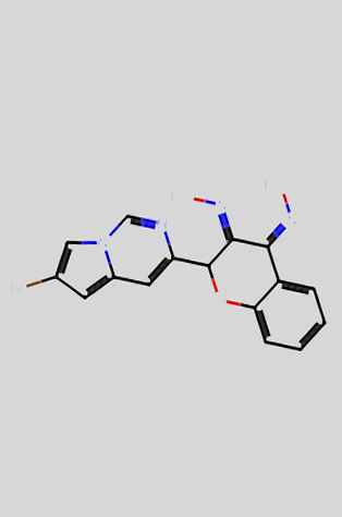 ON=C1C(=NO)C(c2cc3cc(Br)cn3cn2)Oc2ccccc21